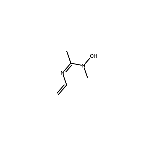 C=C/N=C(/C)N(C)O